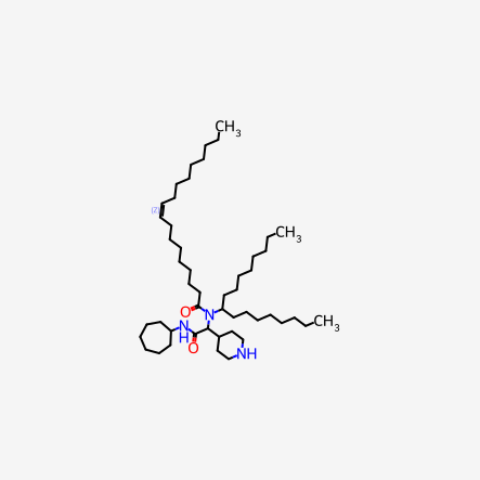 CCCCCCCC/C=C\CCCCCCCC(=O)N(C(CCCCCCCC)CCCCCCCC)C(C(=O)NC1CCCCCC1)C1CCNCC1